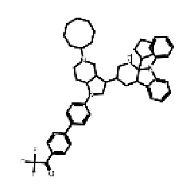 O=C(c1ccc(-c2ccc(N3CC(C4CNC5(C6CCCC6)C(C4)c4ccccc4N5c4ccccc4)C4CN(C5CCCCCCC5)CCC43)cc2)cc1)C(F)(F)F